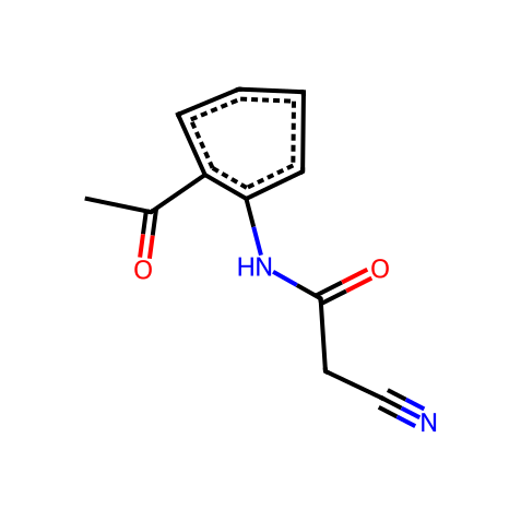 CC(=O)c1ccccc1NC(=O)CC#N